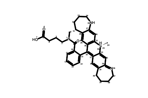 CN(CCCC(=O)O)C(=O)c1ccccc1C1=c2cc3c(cc2[Si@@H](C)c2cc4c(cc21)CCCCN4)=NCCCC3